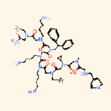 CC(C)CN(CC(N)=O)C(=O)CN(CCCCN)C(=O)CN(CC(c1ccccc1)c1ccccc1)C(=O)CN(CCCCN)C(=O)CN(CCCCN)C(=O)CN(CC(C)C)C(=O)CN(C(=O)CN(C)C(=O)CNCc1ccncc1)C1CC1